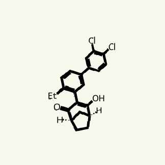 CCc1ccc(-c2ccc(Cl)c(Cl)c2)cc1C1=C(O)[C@H]2CC[C@H](C2)C1=O